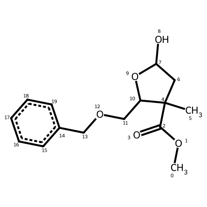 COC(=O)C1(C)CC(O)OC1COCc1ccccc1